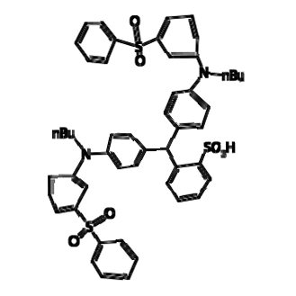 CCCCN(c1ccc(C(c2ccc(N(CCCC)c3cccc(S(=O)(=O)c4ccccc4)c3)cc2)c2ccccc2S(=O)(=O)O)cc1)c1cccc(S(=O)(=O)c2ccccc2)c1